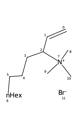 C=CC(CCCCCCCCC)[N+](C)(C)C.[Br-]